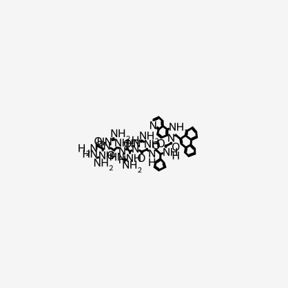 N=C(N)NC(NC(=O)C(NC(=N)N)NC(=O)C(NC(=N)N)NC(=O)C(NC(=N)N)NC(=O)C(NC(=O)C(O)N(Cc1cc2ccccc2c2ccccc12)c1ccc2ncccc2c1N)c1ccccc1)C(N)=O